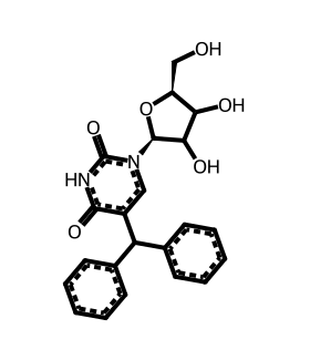 O=c1[nH]c(=O)n([C@H]2O[C@@H](CO)C(O)C2O)cc1C(c1ccccc1)c1ccccc1